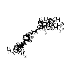 COc1cc(C(=O)N(C(C)C)C(C)C)ccc1OCCCCCOc1ccc(CN=NC(=O)OC(C)(C)C)cc1